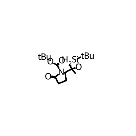 CC(C)(C)OC(=O)N1C(=O)CCC1C(C)(C)O[SiH2]C(C)(C)C